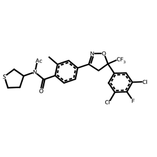 CC(=O)N(C(=O)c1ccc(C2=NOC(c3cc(Cl)c(F)c(Cl)c3)(C(F)(F)F)C2)cc1C)C1CCSC1